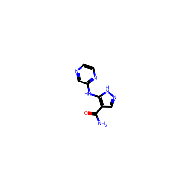 NC(=O)c1cn[nH]c1Nc1cnccn1